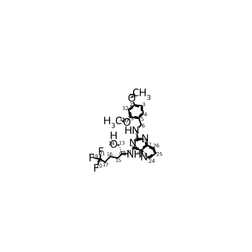 COc1ccc(CNc2nc(N[C@@H](CO)CCCC(F)(F)F)c3ncccc3n2)c(OC)c1